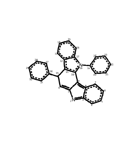 C1=C2N=c3ccccc3=C2c2c(c3ccccc3n2-c2ccccc2)C1c1ccccc1